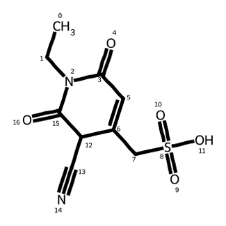 CCN1C(=O)C=C(CS(=O)(=O)O)C(C#N)C1=O